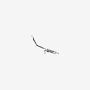 [O]=[Ag][CH2]I